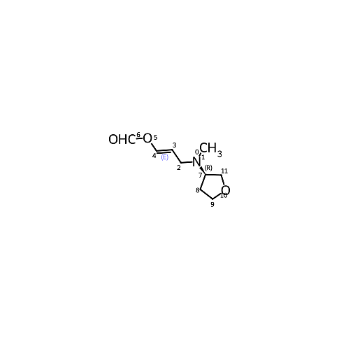 CN(C/C=C/OC=O)[C@@H]1CCOC1